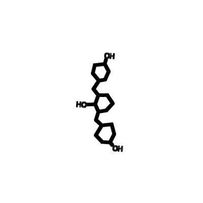 OC1CCC(CC2CCCC(CC3CCC(O)CC3)C2O)CC1